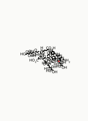 Nc1nc2ncc(CNc3ccc(C(=O)N[C@@H](CCC(=O)N[C@@H](CCC(=O)NC[C@H](O)[C@@H](O)[C@H](O)[C@H](O)CO)C(=O)N[C@@H](CCC(=O)O)C(=O)N[C@@H](CCC(=O)NCC[C@@H](O)[C@H](O)[C@H](O)CO)C(=O)N[C@@H](CCC(=O)O)C(=O)N[C@@H](CCC(=O)NCC[C@@H](O)[C@H](O)[C@H](O)CO)C(=O)N[C@@H](CS)C(=O)O)C(=O)O)cc3)nc2c(=O)[nH]1